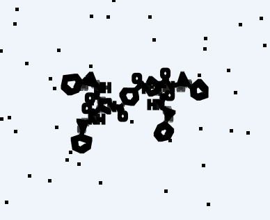 O=C(N[C@H]1C[C@@H]1c1ccccc1)[C@@H]1CN(C(=O)[C@H]2CC[C@H](C(=O)N3C[C@@H](C(=O)N[C@H]4C[C@@H]4c4ccccc4)[C@H](C(=O)N[C@H]4C[C@@H]4c4ccccc4)C3)CC2)C[C@H]1C(=O)N[C@H]1C[C@@H]1c1ccccc1